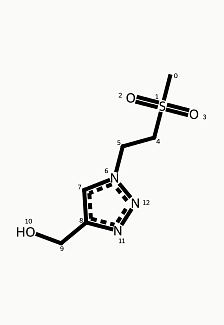 CS(=O)(=O)CCn1cc(CO)nn1